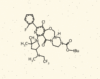 CN(CC(F)(F)F)C1CN(c2nc(-c3ccccc3F)c(Cl)c3c2C(=O)N2CCN(C(=O)OC(C)(C)C)C[C@@H]2CO3)C(C)(C)C1